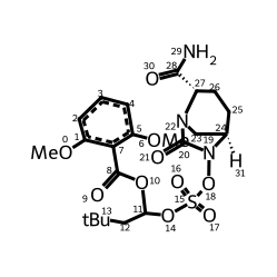 COc1cccc(OC)c1C(=O)OC(CC(C)(C)C)OS(=O)(=O)ON1C(=O)N2C[C@H]1CC[C@H]2C(N)=O